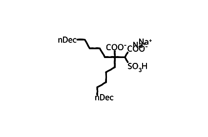 CCCCCCCCCCCCCCC(CCCCCCCCCCCCCC)(C(=O)[O-])C(C(=O)[O-])S(=O)(=O)O.[Na+].[Na+]